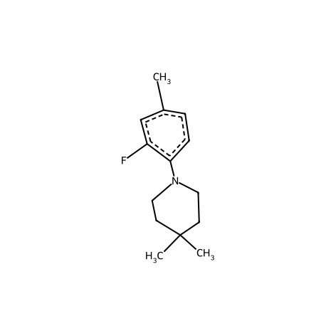 Cc1ccc(N2CCC(C)(C)CC2)c(F)c1